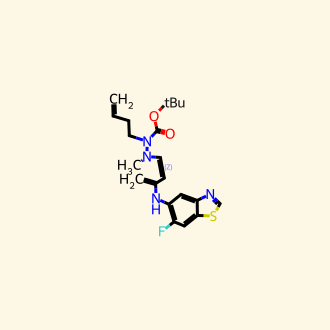 C=CCCN(C(=O)OC(C)(C)C)N(C)/C=C\C(=C)Nc1cc2ncsc2cc1F